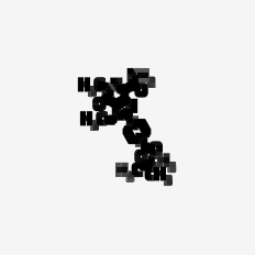 CCn1c(N2CCN(C(=O)OC(C)(C)C)CC2)nc2c(C(N)=O)nn(C)c(=O)c21